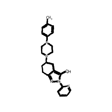 Cc1ccc(N2CCN(C3CCc4nn(-c5ccccn5)c(O)c4C3)CC2)cc1